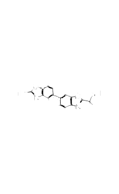 CC(C)c1nc2cc(-c3ccc4nc(C(C)S)oc4c3)ccc2o1